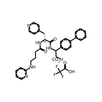 O=C(O)C(F)(F)F.O=C(O)CC(NC(=O)[C@@H](Cc1ccncc1)NC(=O)CCCNc1ccccn1)c1ccc(-c2ccccc2)cc1